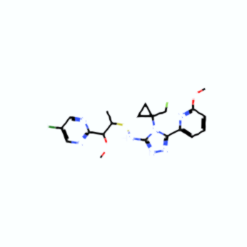 COc1cccc(-c2nnc(NSC(C)C(OC)c3ncc(Cl)cn3)n2C2(CF)CC2)n1